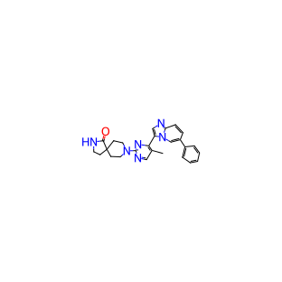 Cc1cnc(N2CCC3(CCNC3=O)CC2)nc1-c1cnc2ccc(-c3ccccc3)cn12